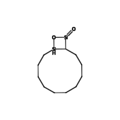 O=[Si]1O[SiH]2CCCCCCCCCCC12